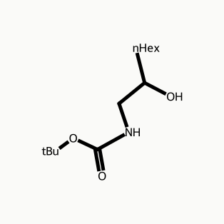 CCCCCCC(O)CNC(=O)OC(C)(C)C